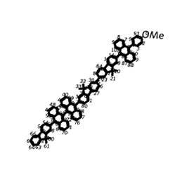 COc1ccc(-c2c3ccccc3c(-c3ccc4c(c3)C(C)(C)c3cc(-c5ccc6c(c5)C(C)(C)c5cc(-c7c8ccccc8c(-c8c9ccccc9c(-c9ccc%10c(c9)C(C)(C)c9ccccc9-%10)c9ccccc89)c8ccccc78)ccc5-6)ccc3-4)c3ccccc23)cc1